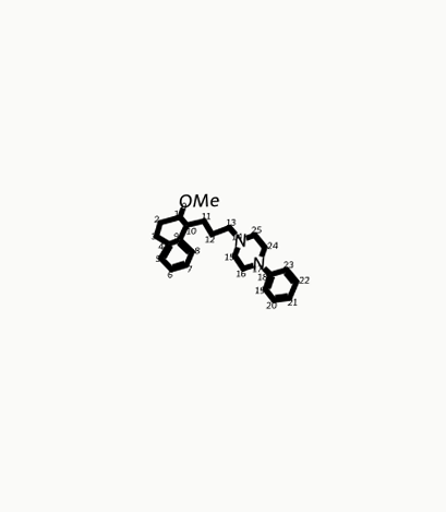 COC1CCc2ccccc2C1CCCN1CCN(c2ccccc2)CC1